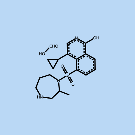 CC1CNCCCN1S(=O)(=O)c1cccc2c(O)ncc(C3CC3)c12.O=CO